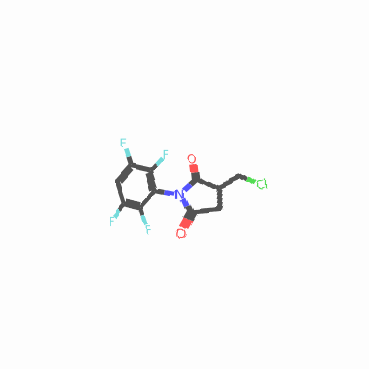 O=C1CC(CCl)C(=O)N1c1c(F)c(F)cc(F)c1F